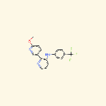 COc1ccc(-c2ncccc2Nc2ccc(C(F)(F)F)cc2)cn1